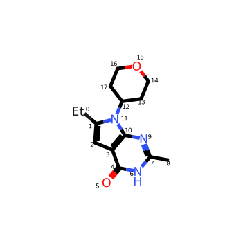 CCc1cc2c(=O)[nH]c(C)nc2n1C1CCOCC1